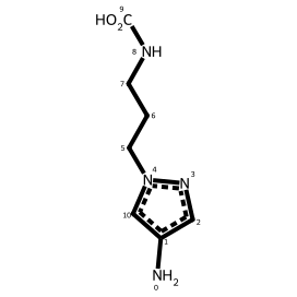 Nc1cnn(CCCNC(=O)O)c1